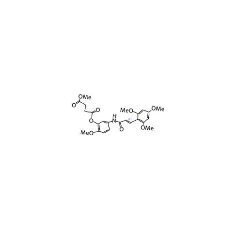 COC(=O)CCC(=O)Oc1cc(NC(=O)/C=C/c2c(OC)cc(OC)cc2OC)ccc1OC